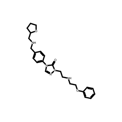 O=c1n(-c2ccc(CNCC3CCCO3)cc2)cnn1CCNCCOc1ccccc1